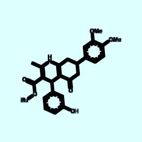 CCC(C)OC(=O)C1=C(C)NC2=C(C(=O)CC(c3ccc(OC)c(OC)c3)C2)C1c1cccc(O)c1